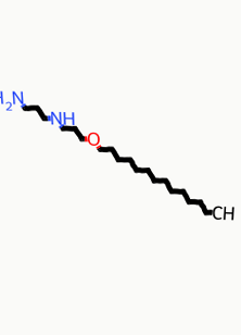 CCCCCCCCCCCCCCOCCCNCCCN